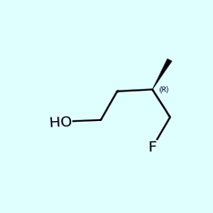 C[C@@H](CF)CCO